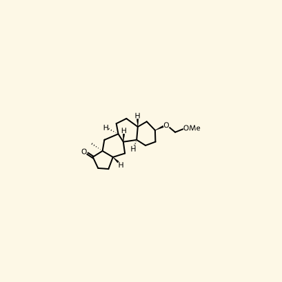 COCO[C@H]1CC[C@@H]2[C@H](CC[C@@H]3C[C@]4(C)C(=O)CC[C@H]4C[C@H]32)C1